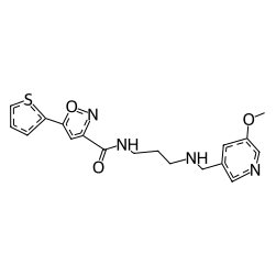 COc1cncc(CNCCCNC(=O)c2cc(-c3cccs3)on2)c1